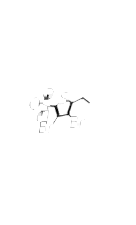 CCc1sc(S(=O)(=O)Cl)c(Br)c1Br